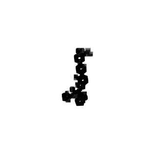 CC(C)(C)C1CN(c2ccc(-c3ccc4cn(C(C(=O)Nc5nccs5)c5ncn6c5CCC6)nc4c3F)cn2)CCN1C(=O)O